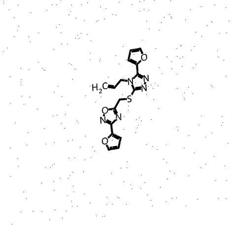 C=CCn1c(SCc2nc(-c3ccco3)no2)nnc1-c1ccco1